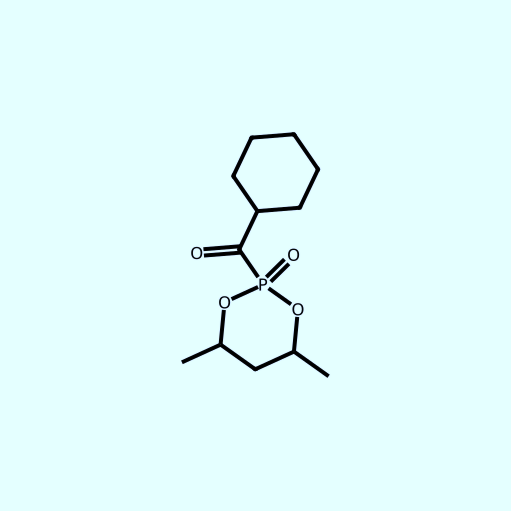 CC1CC(C)OP(=O)(C(=O)C2CCCCC2)O1